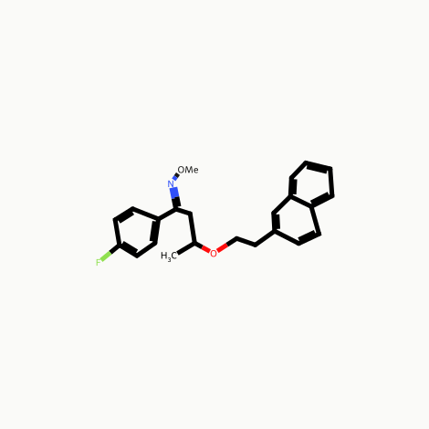 CO/N=C(\CC(C)OCCc1ccc2ccccc2c1)c1ccc(F)cc1